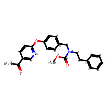 CNC(=O)c1ccc(Oc2ccc(CN(CCc3ccccc3)C(=O)OC(C)(C)C)cc2)nc1